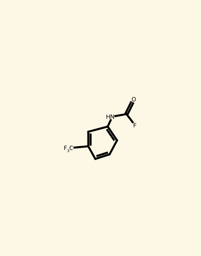 O=C(F)Nc1cccc(C(F)(F)F)c1